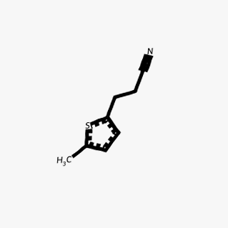 Cc1ccc(CCC#N)s1